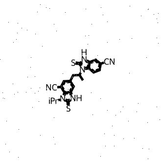 CC(C)n1c(=S)[nH]c2cc(CC(C)n3c(=S)[nH]c4cc(C#N)ccc43)cc(C#N)c21